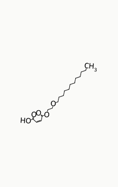 CCCCCCCCCCCCOCCOC(=O)/C=C\C(=O)O